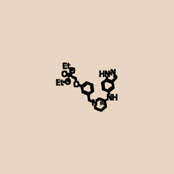 CCOP(=O)(COc1cccc(CN2CCC[C@@H](Nc3ccc4[nH]ncc4c3)C2)c1)OCC